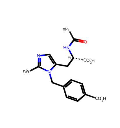 CCCC(=O)N[C@@H](Cc1cnc(CCC)n1Cc1ccc(C(=O)O)cc1)C(=O)O